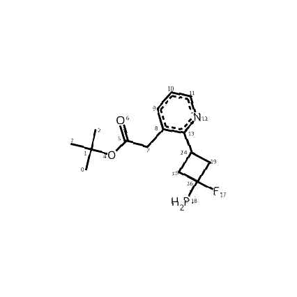 CC(C)(C)OC(=O)Cc1cccnc1C1CC(F)(P)C1